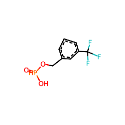 O=[PH](O)OCc1cccc(C(F)(F)F)c1